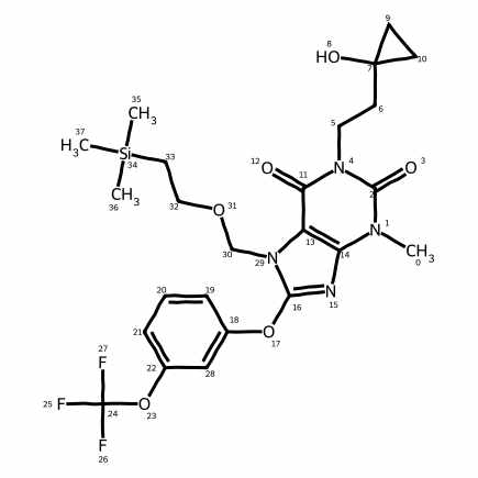 Cn1c(=O)n(CCC2(O)CC2)c(=O)c2c1nc(Oc1cccc(OC(F)(F)F)c1)n2COCC[Si](C)(C)C